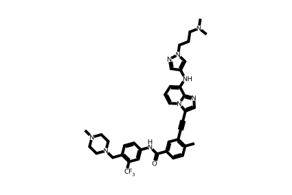 Cc1ccc(C(=O)Nc2ccc(CN3CCN(C)CC3)c(C(F)(F)F)c2)cc1C#Cc1cnc2c(Nc3cnn(CCCN(C)C)c3)cccn12